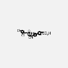 Cc1onc(-c2ccc(-c3ccc(CC(=O)O)cc3)cc2)c1NC(=O)OCCc1ccc(Cl)cc1Cl